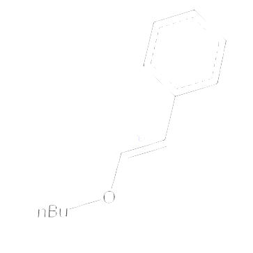 CCCCO/[C]=C/c1ccccc1